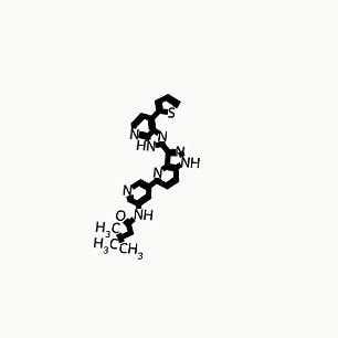 CC(C)(C)CC(=O)Nc1cncc(-c2ccc3[nH]nc(-c4nc5c(-c6cccs6)ccnc5[nH]4)c3n2)c1